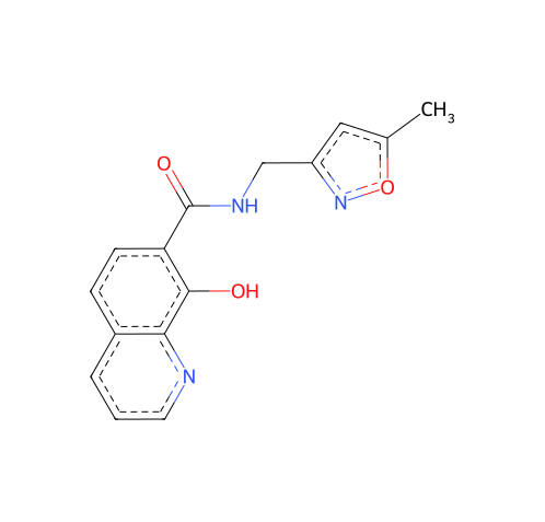 Cc1cc(CNC(=O)c2ccc3cccnc3c2O)no1